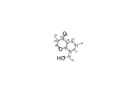 Cc1cc(C(C)O)c2occ(C)c(=O)c2c1